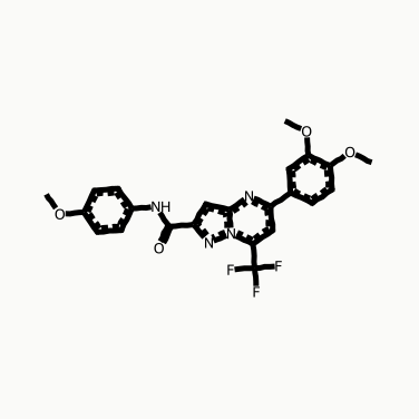 COc1ccc(NC(=O)c2cc3nc(-c4ccc(OC)c(OC)c4)cc(C(F)(F)F)n3n2)cc1